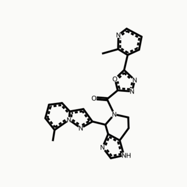 Cc1ncccc1-c1nnc(C(=O)N2CCc3[nH]cnc3C2c2cc3cccc(C)n3n2)o1